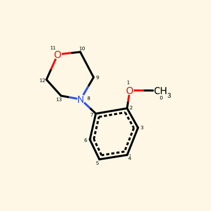 COc1c[c]ccc1N1CCOCC1